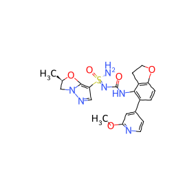 COc1cc(-c2ccc3c(c2NC(=O)N=[S@](N)(=O)c2cnn4c2O[C@H](C)C4)CCO3)ccn1